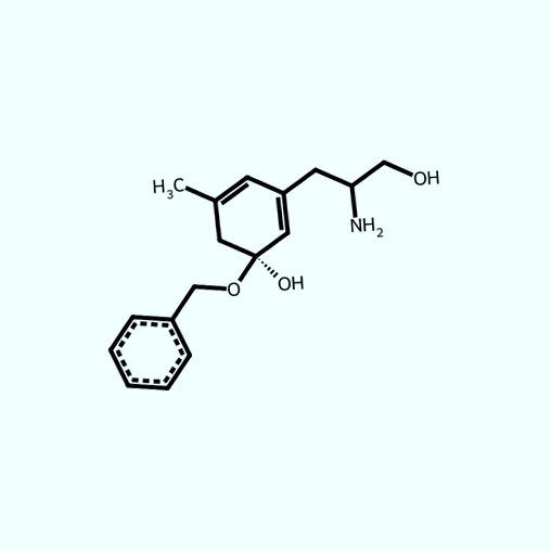 CC1=CC(CC(N)CO)=C[C@@](O)(OCc2ccccc2)C1